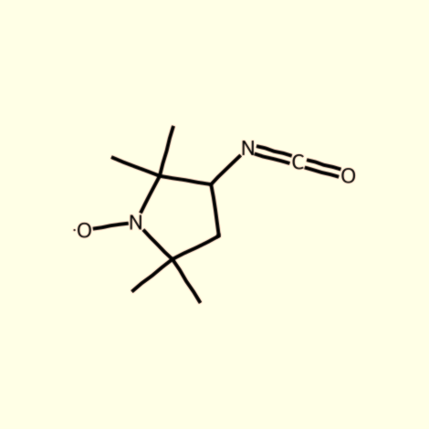 CC1(C)CC(N=C=O)C(C)(C)N1[O]